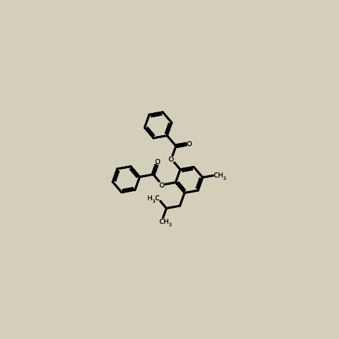 Cc1cc(CC(C)C)c(OC(=O)c2ccccc2)c(OC(=O)c2ccccc2)c1